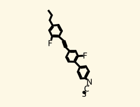 CCCc1ccc(C#Cc2ccc(-c3ccc(N=C=S)cc3)c(F)c2)c(F)c1